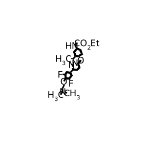 CCOC(=O)Nc1cccc([C@H](C)n2nc(-c3cc(F)c(OCCN(C)C)c(F)c3)ccc2=O)c1